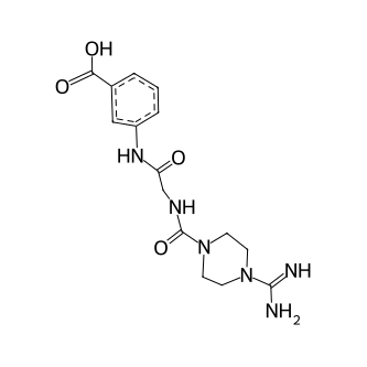 N=C(N)N1CCN(C(=O)NCC(=O)Nc2cccc(C(=O)O)c2)CC1